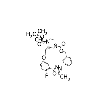 Cc1nnc(-c2cc(OCC[C@@H]3CN(C(=O)OCc4ccccc4)CCN3C(=O)OC(C)(C)C)ccc2F)o1